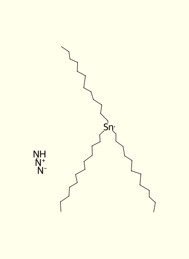 CCCCCCCCCCC[CH2][Sn]([CH2]CCCCCCCCCCC)[CH2]CCCCCCCCCCC.[N-]=[N+]=N